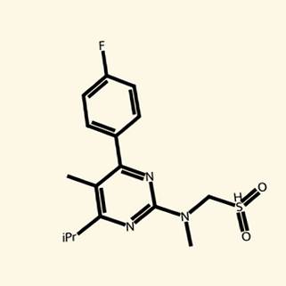 Cc1c(-c2ccc(F)cc2)nc(N(C)C[SH](=O)=O)nc1C(C)C